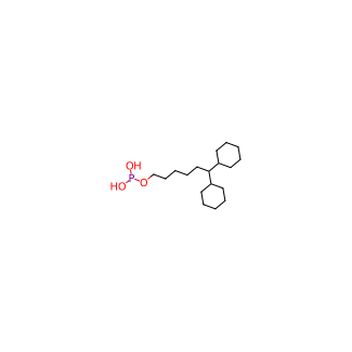 OP(O)OCCCCCC(C1CCCCC1)C1CCCCC1